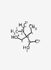 CCC(CO)(C(O)Cl)N(C)C